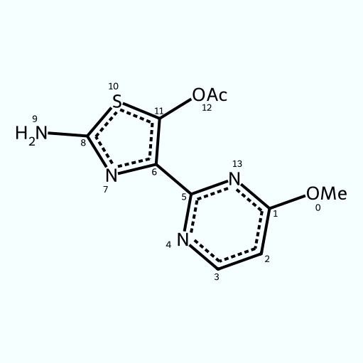 COc1ccnc(-c2nc(N)sc2OC(C)=O)n1